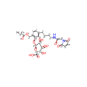 CC(=O)OCc1ccc(CCCCNC(=O)CN2C(=O)C=CC2=O)cc1O[C@@H]1O[C@H](C(=O)O)[C@@H](O)[C@H](O)[C@H]1O